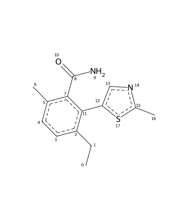 CCc1ccc(C)c(C(N)=O)c1-c1cnc(C)s1